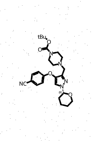 CC(C)(C)OC(=O)N1CCN(Cc2nn([C@H]3CCCCO3)cc2Oc2ccc(C#N)cc2)CC1